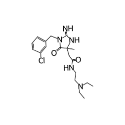 CCN(CC)CCNC(=O)CC1(C)NC(=N)N(Cc2cccc(Cl)c2)C1=O